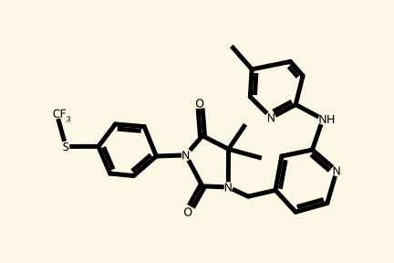 Cc1ccc(Nc2cc(CN3C(=O)N(c4ccc(SC(F)(F)F)cc4)C(=O)C3(C)C)ccn2)nc1